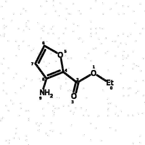 CCOC(=O)c1occc1N